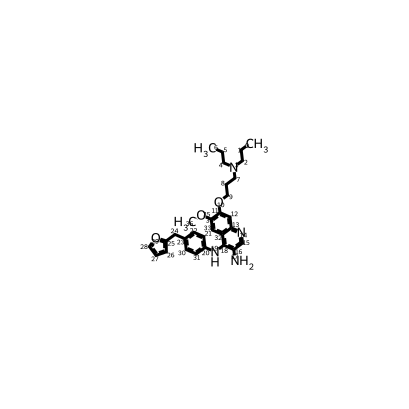 CCCN(CCC)CCCOc1cc2ncc(N)c(Nc3ccc(Cc4ccco4)cc3)c2cc1OC